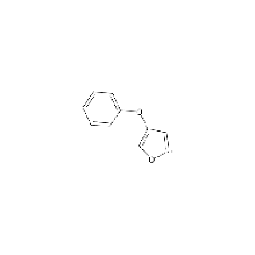 [c]1cc(Oc2ccccc2)co1